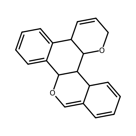 C1=CC2=COC3c4ccccc4C4C=CCOC4C3C2C=C1